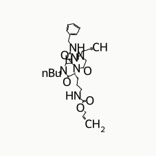 C#CCN1CC(=O)N2[C@@H](CCCNC(=O)OCC=C)C(=O)N(CCCC)C[C@@H]2N1C(=O)NCc1ccccc1